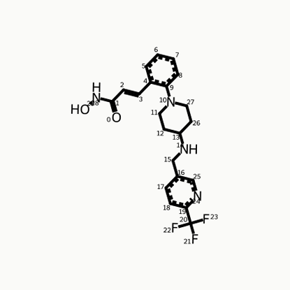 O=C(C=Cc1ccccc1N1CCC(NCc2ccc(C(F)(F)F)nc2)CC1)NO